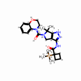 CC1(C)c2[nH]nc(NC(=O)C3(S(C)(C)C)CCC3)c2CN1C(=O)N1CCOc2ccccc21